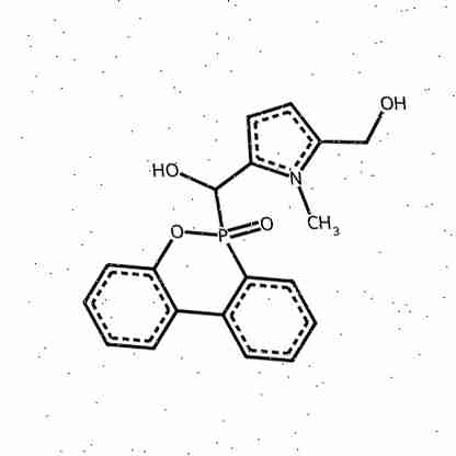 Cn1c(CO)ccc1C(O)P1(=O)Oc2ccccc2-c2ccccc21